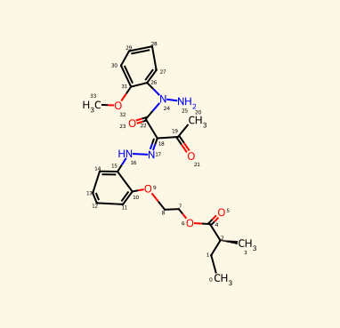 CC[C@H](C)C(=O)OCCOc1ccccc1N/N=C(/C(C)=O)C(=O)N(N)c1ccccc1OC